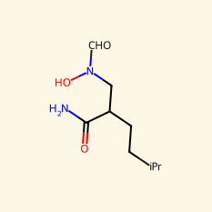 CC(C)CCC(CN(O)C=O)C(N)=O